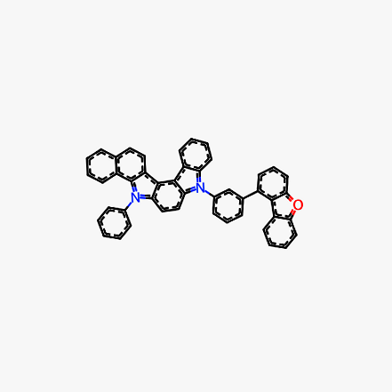 c1ccc(-n2c3ccc4c(c5ccccc5n4-c4cccc(-c5cccc6oc7ccccc7c56)c4)c3c3ccc4ccccc4c32)cc1